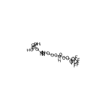 C[C@@H]1[C@@H](O)[C@@H](CO)[C@@H](COCCc2cn(CCOCCOCCOCCNC(=O)CCOCCOCCC(=O)Oc3c(F)c(F)c(F)c(F)c3F)nn2)C[C@H]1O